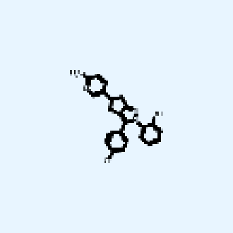 Cc1ccc(C2Cc3nn(-c4ccccc4O)c(-c4c#cc(Cl)cc4)c3C2)cn1